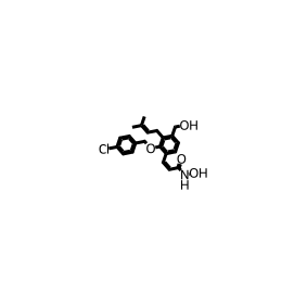 CC(C)=CCc1c(CO)ccc(/C=C\C(=O)NO)c1OCc1ccc(Cl)cc1